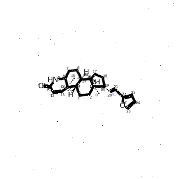 C[C@]12CC[C@H]3[C@@H](CCC4NC(=O)C=C[C@@]43C)[C@@H]1CC[C@@H]2/C=C/c1ccco1